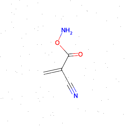 C=C(C#N)C(=O)ON